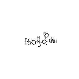 O=C(Nc1ccc(OC(F)(F)Cl)cc1)c1cnc(-c2cn[nH]c2)c(-c2cccnc2)c1